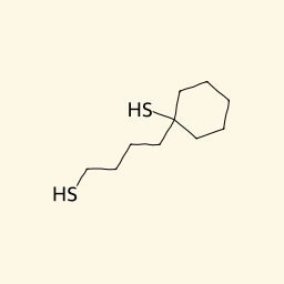 SCCCCC1(S)CCCCC1